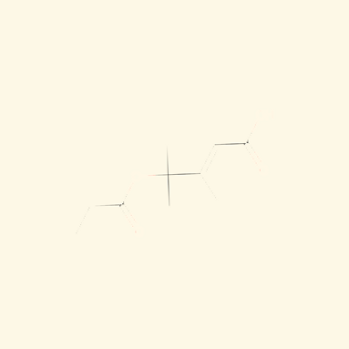 CCC(=O)OC(C)(C)C(C)=CC(=O)O